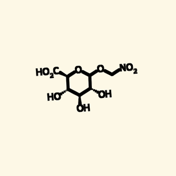 O=C(O)[C@H]1OC(OC[N+](=O)[O-])[C@H](O)[C@@H](O)[C@@H]1O